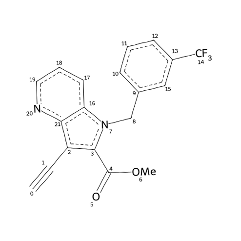 C#Cc1c(C(=O)OC)n(Cc2cccc(C(F)(F)F)c2)c2cccnc12